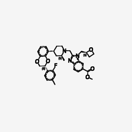 COC(=O)c1ccc2nc(CN3CCC(c4cccc5c4O[C@H](c4ccc(C)cc4F)CO5)C[C@@H]3C)n(C[C@@H]3CCO3)c2c1